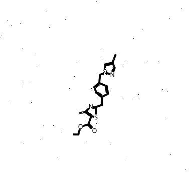 CCOC(=O)c1sc(Cc2ccc(Cn3cc(C)cn3)cc2)nc1C